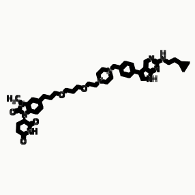 Cn1c(=O)n([C@H]2CCC(=O)NC2=O)c2ccc(CCCOCCCOCCN3CCN(Cc4ccc(-c5c[nH]c6nc(NCCC7CC7)ncc56)cc4)CC3)cc21